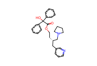 O=C(OCC[C@@H](Cc1cccnc1)CN1CCCC1)C(O)(c1ccccc1)c1ccccc1